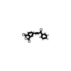 O=C(C#Cc1ccc2c(c1)C(=O)OC2=O)c1ccccc1